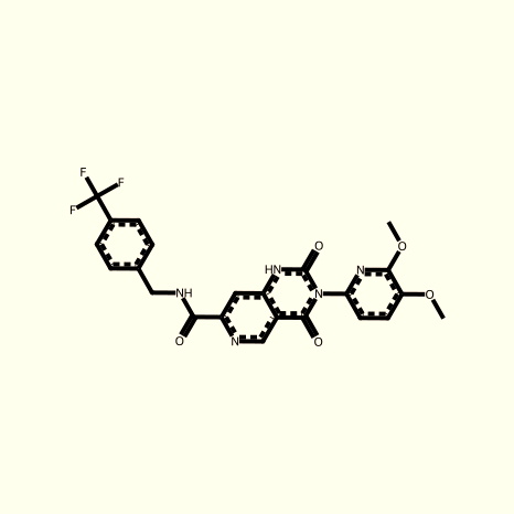 COc1ccc(-n2c(=O)[nH]c3cc(C(=O)NCc4ccc(C(F)(F)F)cc4)ncc3c2=O)nc1OC